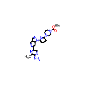 Cc1nc(-c2cc3c(cn2)cnn3-c2cccc(N3CCCN(C(=O)OC(C)(C)C)CC3)n2)cnc1N